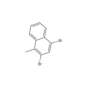 Cc1c(Br)cc(Br)c2ccccc12